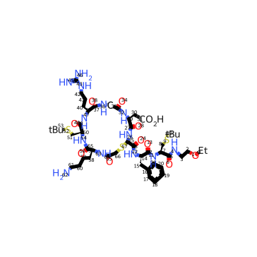 CCOCCNC(=O)[C@H](CSC(C)(C)C)NC(=O)[C@H](Cc1ccccc1)NC(=O)C1NC(=O)[C@H](CC(=O)O)NC(=O)CNC(=O)[C@H](CCCNC(=N)N)NC(=O)[C@H](CSC(C)(C)C)NC(=O)[C@H](CCCCN)NC(=O)CS1